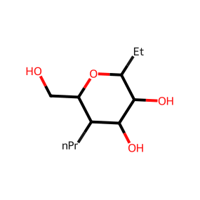 CCCC1C(CO)OC(CC)C(O)C1O